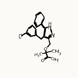 CC(C)(OCc1n[nH]c(-c2ccccc2)c1Cc1cccc(Cl)c1)C(=O)O